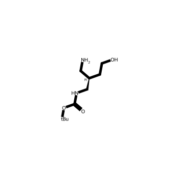 CC(C)(C)OC(=O)NC[C@@H](CN)CCO